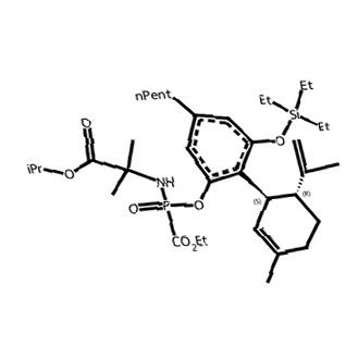 C=C(C)[C@@H]1CCC(C)=C[C@H]1c1c(O[Si](CC)(CC)CC)cc(CCCCC)cc1OP(=O)(NC(C)(C)C(=O)OC(C)C)C(=O)OCC